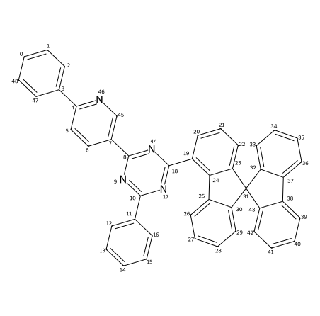 c1ccc(-c2ccc(-c3nc(-c4ccccc4)nc(-c4cccc5c4-c4ccccc4C54c5ccccc5-c5ccccc54)n3)cn2)cc1